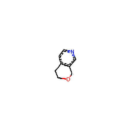 [CH]1OCCc2ccncc21